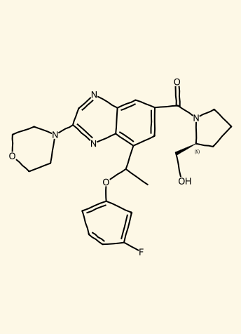 CC(Oc1cccc(F)c1)c1cc(C(=O)N2CCC[C@H]2CO)cc2ncc(N3CCOCC3)nc12